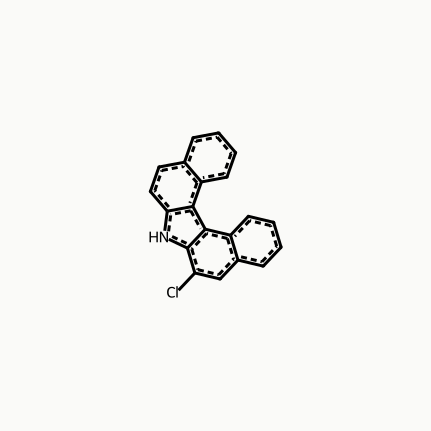 Clc1cc2ccccc2c2c1[nH]c1ccc3ccccc3c12